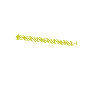 CS(=S)(=S)SSSSSSSSSSSSSSSSSSSSSSSSSSSSSSSSSSSSSSSSSSSSS